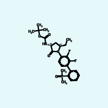 CC[C@@H]1C[C@@H](NC(=O)OC(C)(C)C)C(=O)N1c1ccc(-c2ccccc2P(C)(C)=O)c(F)c1F